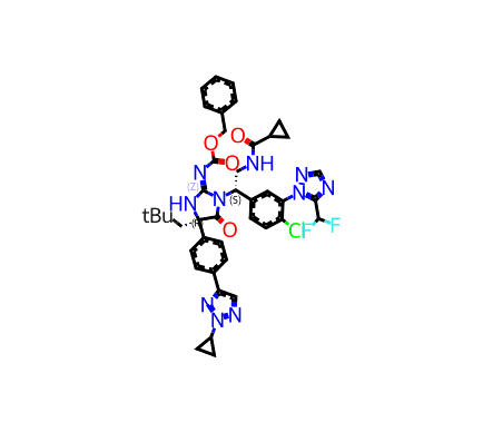 CC(C)(C)C[C@]1(c2ccc(-c3cnn(C4CC4)n3)cc2)N/C(=N/C(=O)OCc2ccccc2)N([C@H](CNC(=O)C2CC2)c2ccc(Cl)c(-n3ncnc3C(F)F)c2)C1=O